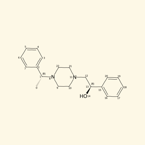 C[C@H](c1ccccc1)N1CCN(C[C@H](O)c2ccccc2)CC1